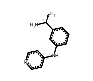 C[C@H](N)c1cccc(Nc2ccncc2)c1